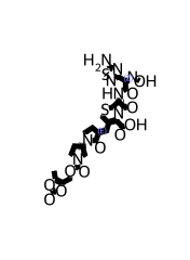 Cc1oc(=O)oc1COC(=O)N1CC[C@@H](N2CC/C(=C\C3=C(C(=O)O)N4C(=O)[C@@H](NC(=O)/C(=N\O)c5nsc(N)n5)C4SC3)C2=O)C1